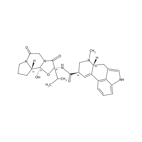 CC(C)[C@@]1(NC(=O)[C@@H]2C=C3c4cccc5[nH]cc(c45)C[C@H]3N(C)C2)O[C@@]2(O)[C@@H]3CCCN3C(=O)CN2C1=O